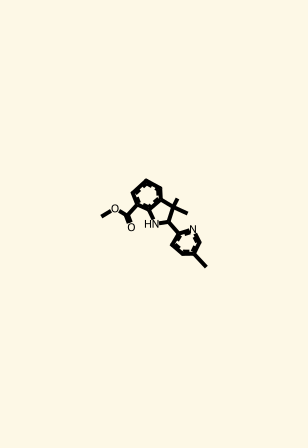 COC(=O)c1cccc2c1NC(c1ccc(C)cn1)C2(C)C